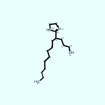 CCCCCCCCCC(CCCO)C1=NCCN1